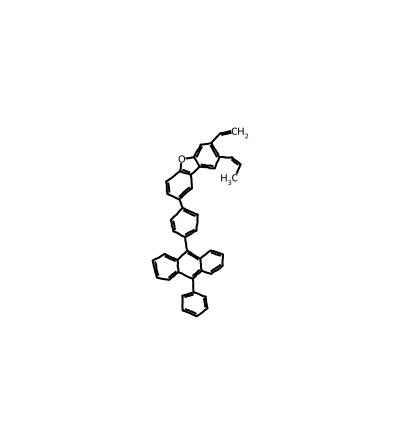 C=Cc1cc2oc3ccc(-c4ccc(-c5c6ccccc6c(-c6ccccc6)c6ccccc56)cc4)cc3c2cc1/C=C\C